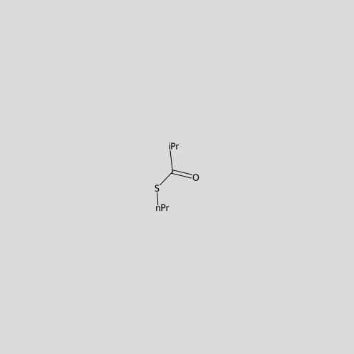 CCCSC(=O)C(C)C